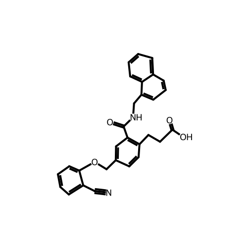 N#Cc1ccccc1OCc1ccc(CCC(=O)O)c(C(=O)NCc2cccc3ccccc23)c1